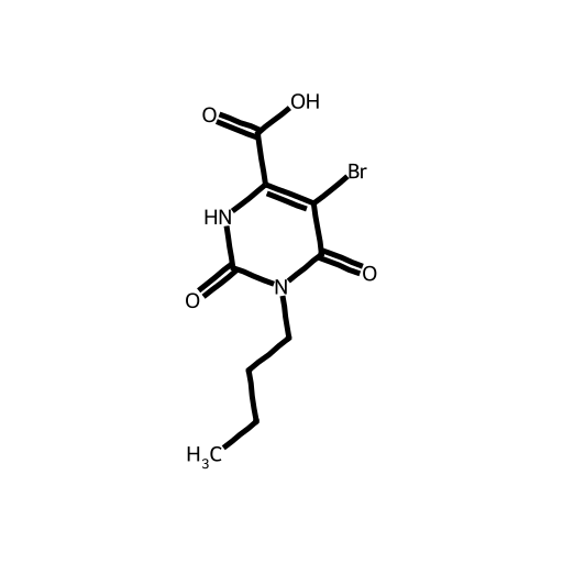 CCCCn1c(=O)[nH]c(C(=O)O)c(Br)c1=O